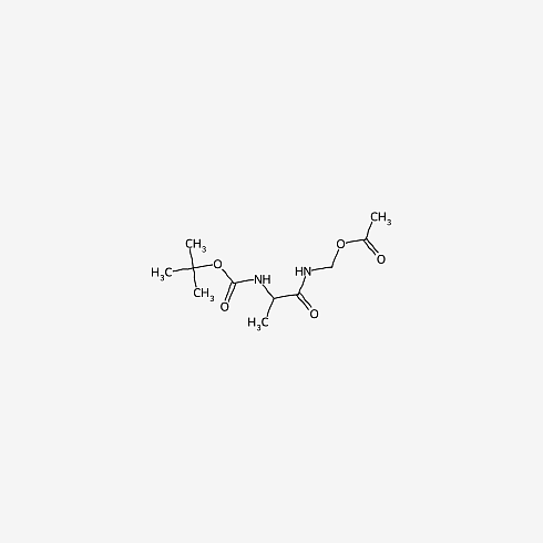 CC(=O)OCNC(=O)C(C)NC(=O)OC(C)(C)C